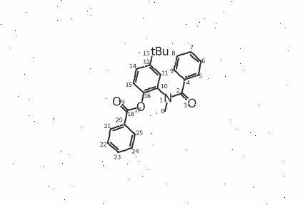 CN(C(=O)c1ccccc1)c1cc(C(C)(C)C)ccc1OC(=O)c1ccccc1